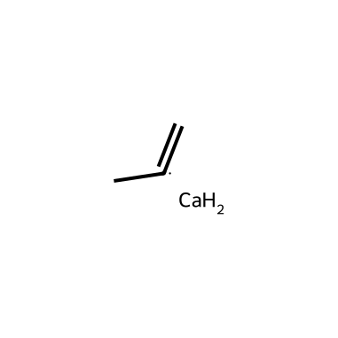 C=[C]C.[CaH2]